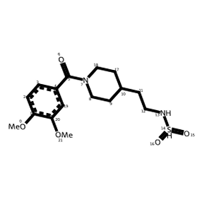 COc1ccc(C(=O)N2CCC(CCN[SH](=O)=O)CC2)cc1OC